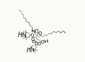 CCCCCCCCCCCCCC(CCCCCCCCCCCCC)(C(=O)O)C(C(=O)OC1CC(C)(C)NC(C)(C)C1)C(CC(=O)O)C(=O)OC1CC(C)(C)NC(C)(C)C1